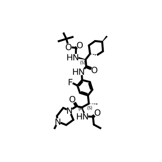 CCC(=O)N[C@@H](C(=O)N1CCN(C)CC1)[C@@H](C)c1ccc(NC(=O)[C@@H](NC(=O)OC(C)(C)C)[C@H]2CC[C@H](C)CC2)c(F)c1